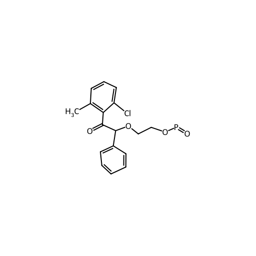 Cc1cccc(Cl)c1C(=O)C(OCCOP=O)c1ccccc1